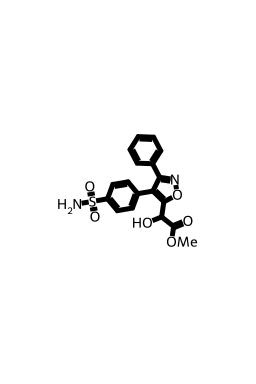 COC(=O)C(O)c1onc(-c2ccccc2)c1-c1ccc(S(N)(=O)=O)cc1